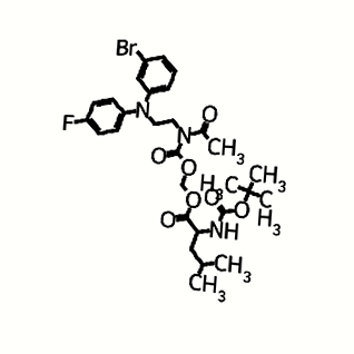 CC(=O)N(CCN(c1ccc(F)cc1)c1cccc(Br)c1)C(=O)OCOC(=O)C(CC(C)C)NC(=O)OC(C)(C)C